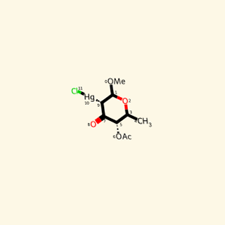 COC1OC(C)[C@H](OC(C)=O)C(=O)[C@@H]1[Hg][Cl]